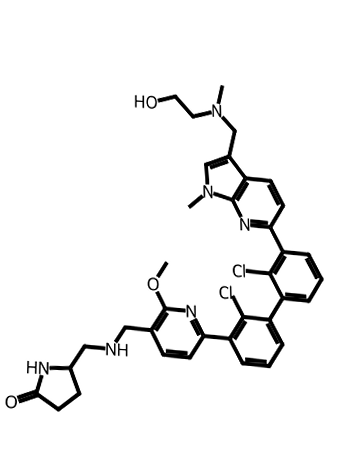 COc1nc(-c2cccc(-c3cccc(-c4ccc5c(CN(C)CCO)cn(C)c5n4)c3Cl)c2Cl)ccc1CNCC1CCC(=O)N1